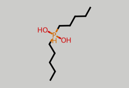 CCCCC[PH](O)(O)CCCCC